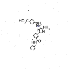 C/C(=N\Nc1ccc(C(=O)O)cc1)c1nc(-c2cccc(C(=O)NCc3ccccc3)c2)cnc1N